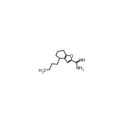 CCCCC1CCCc2oc(C(=N)N)cc21